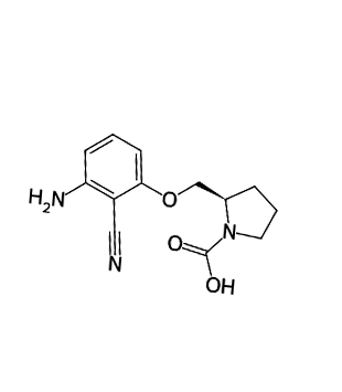 N#Cc1c(N)cccc1OC[C@H]1CCCN1C(=O)O